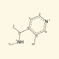 CNC(C)c1ccncc1C